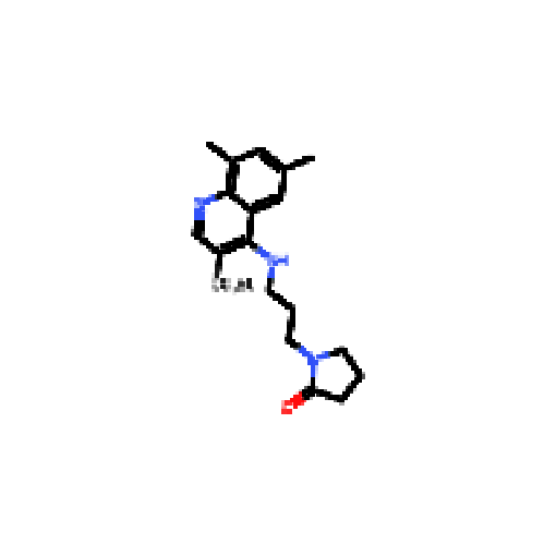 CCOC(=O)c1cnc2c(C)cc(C)cc2c1NCCCN1CCCC1=O